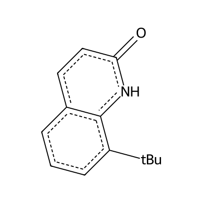 CC(C)(C)c1cccc2ccc(=O)[nH]c12